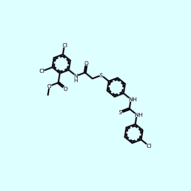 COC(=O)c1c(Cl)cc(Cl)cc1NC(=O)CSc1ccc(NC(=S)Nc2cccc(Cl)c2)cc1